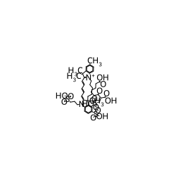 Cc1ccc2c(c1)C(C)(C)C(C=CC=CC=C1N(CCCS(=O)(=O)O)c3ccc(S(=O)(=O)O)cc3C1(C)CCCCCC(=O)O)=[N+]2CCCCCC(=O)C(CS(=O)(=O)O)C(=O)O